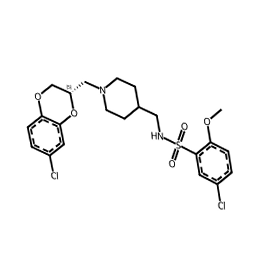 COc1ccc(Cl)cc1S(=O)(=O)NCC1CCN(C[C@H]2COc3ccc(Cl)cc3O2)CC1